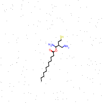 CCCCCCCCCCCC(=O)OC(N)C(CN)CCS